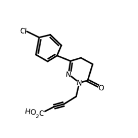 O=C(O)C#CCN1N=C(c2ccc(Cl)cc2)CCC1=O